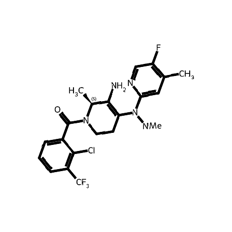 CNN(C1=C(N)[C@H](C)N(C(=O)c2cccc(C(F)(F)F)c2Cl)CC1)c1cc(C)c(F)cn1